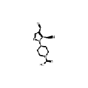 N#Cc1c(C=O)cnn1C1CCN(C(=O)O)CC1